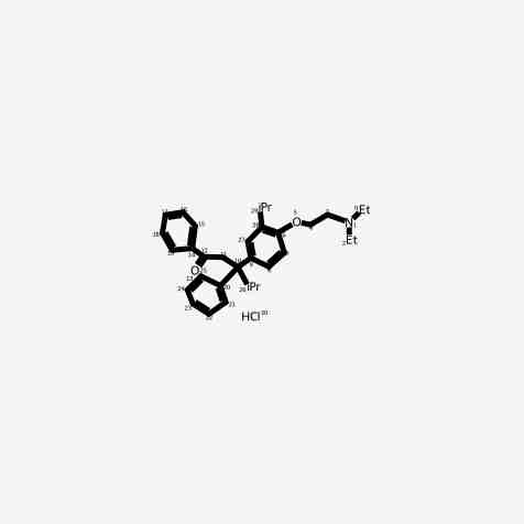 CCN(CC)CCOc1ccc(C(CC(=O)c2ccccc2)(c2ccccc2)C(C)C)cc1C(C)C.Cl